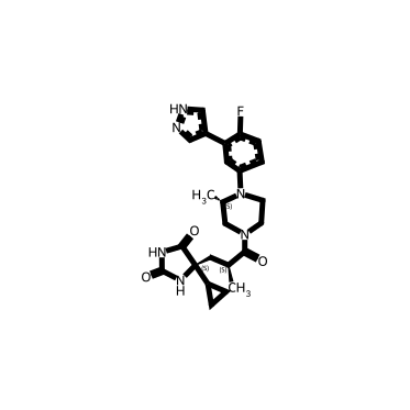 C[C@@H](C[C@@]1(C2CC2)NC(=O)NC1=O)C(=O)N1CCN(c2ccc(F)c(-c3cn[nH]c3)c2)[C@@H](C)C1